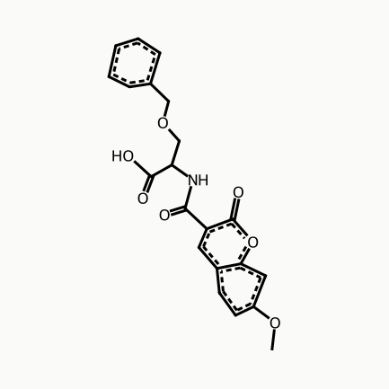 COc1ccc2cc(C(=O)NC(COCc3ccccc3)C(=O)O)c(=O)oc2c1